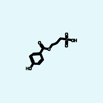 O=C(OCCCS(=O)(=O)O)c1ccc(O)cc1